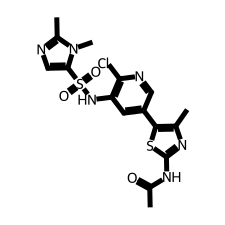 CC(=O)Nc1nc(C)c(-c2cnc(Cl)c(NS(=O)(=O)c3cnc(C)n3C)c2)s1